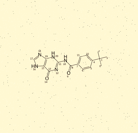 CC(C)(C)c1ccc(C(=O)Nc2nc(=O)c3[nH]cnc3[nH]2)cc1